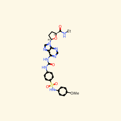 CCNC(=O)[C@@H]1CC[C@H](n2cnc3c(NC(=O)Nc4ccc(S(=O)(=O)Nc5ccc(OC)cc5)cc4)ncnc32)O1